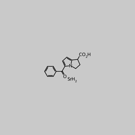 O=C(c1ccccc1)c1ccc2n1CCC2C(=O)O.[SrH2]